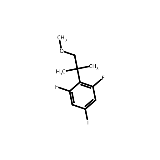 COCC(C)(C)c1c(F)cc(I)cc1F